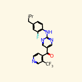 CC(C)Cc1ccc(Nc2ncc(C(=O)c3ccncc3C(F)(F)F)cn2)c(F)c1